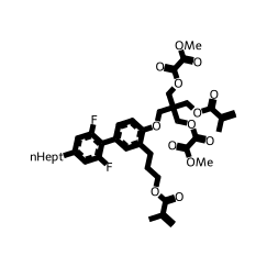 C=C(C)C(=O)OCCCc1cc(-c2c(F)cc(CCCCCCC)cc2F)ccc1OCC(COC(=O)C(=C)C)(COC(=O)C(=O)OC)COC(=O)C(=O)OC